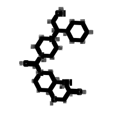 O=C1COC2CCN(C(=O)N3CCN(C(CO)C4CCCCC4)CC3)CC2N1